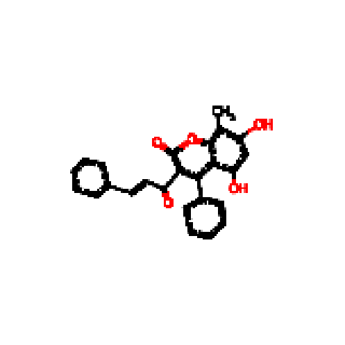 Cc1c(O)cc(O)c2c(-c3ccccc3)c(C(=O)C=Cc3ccccc3)c(=O)oc12